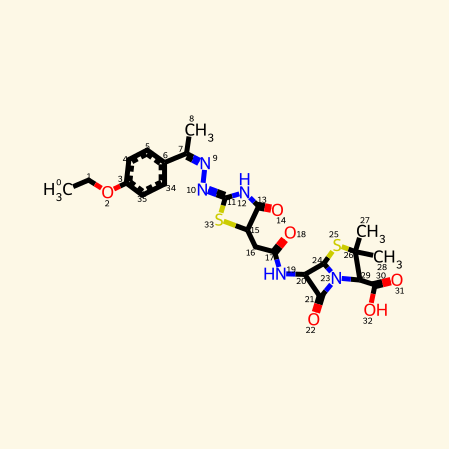 CCOc1ccc(C(C)=NN=C2NC(=O)C(CC(=O)NC3C(=O)N4C3SC(C)(C)C4C(=O)O)S2)cc1